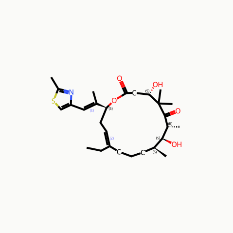 CC/C1=C/C[C@@H](/C(C)=C/c2csc(C)n2)OC(=O)C[C@H](O)C(C)(C)C(=O)[C@H](C)[C@@H](O)[C@@H](C)CCC1